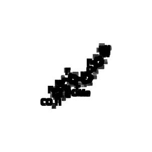 CO[C@H](C)Cn1c(Cc2cc(F)c(-c3cccc(OCc4ccc(-n5ccnn5)cc4F)n3)cc2F)nc2c(F)cc(C(=O)O)cc21